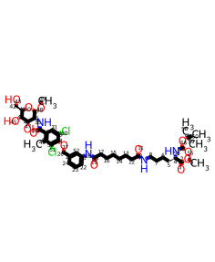 COC(=O)[C@H](CCCCNC(=O)CCCCCCC(=O)Nc1cccc(COc2c(Cl)cc(C(=O)N[C@H]3[C@@H](OC)O[C@H](CO)[C@@H](O)[C@@H]3O)c(C)c2Cl)c1)NC(=O)OC(C)(C)C